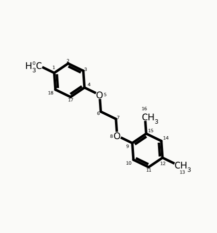 Cc1ccc(OCCOc2ccc(C)cc2C)cc1